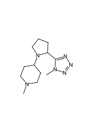 CN1CCC(N2CCCC2c2nnnn2C)CC1